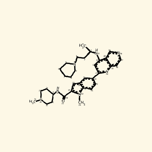 CC(CCN1CCCCC1)Nc1cc(-c2ccc3c(c2)cc(C(=O)NC2CCN(C)CC2)n3C)nc2ccncc12